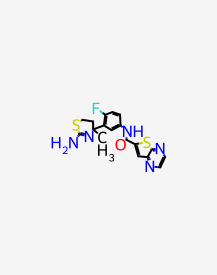 CC1(c2cc(NC(=O)c3cc4nccnc4s3)ccc2F)CCSC(N)=N1